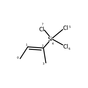 C/C=C(\C)[Si](Cl)(Cl)Cl